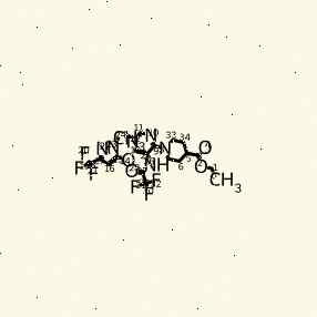 CCOC(=O)C1CCN(c2ncnc(Oc3cc(C(F)(F)F)nn3C)c2NC(=O)C(F)(F)F)CC1